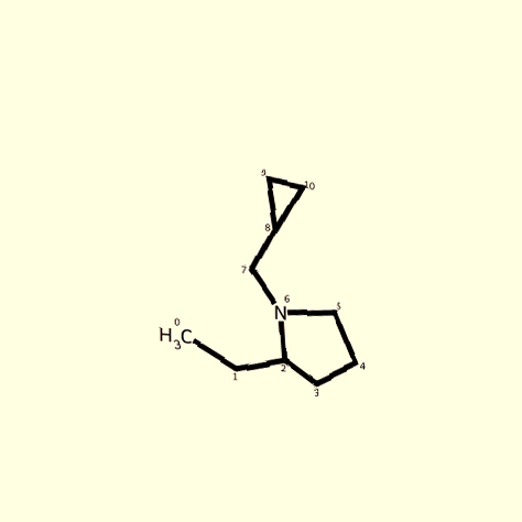 CCC1CCCN1CC1CC1